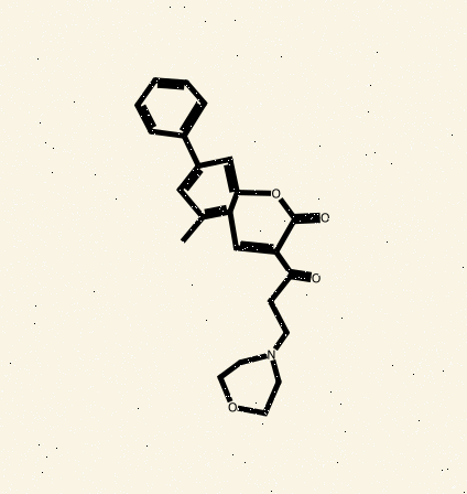 Cc1cc(-c2ccccc2)cc2oc(=O)c(C(=O)CCN3CCOCC3)cc12